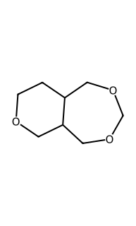 C1CC2COCOCC2CO1